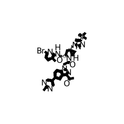 CC(=O)c1nn(CC(=O)N2[C@H](C(=O)Nc3nc(Br)ccc3C)C[C@@]3(Cn4cc([Si](C)(C)C)nn4)C[C@@H]23)c2ccc(-c3cnc(C)nc3)cc12